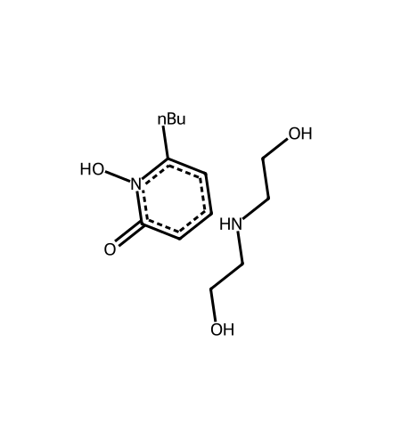 CCCCc1cccc(=O)n1O.OCCNCCO